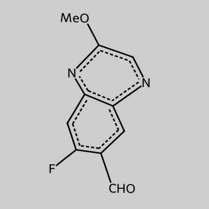 COc1cnc2cc(C=O)c(F)cc2n1